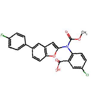 COC(=O)N(c1cc2cc(-c3ccc(F)cc3)ccc2o1)c1ccc(Cl)cc1C(=O)O